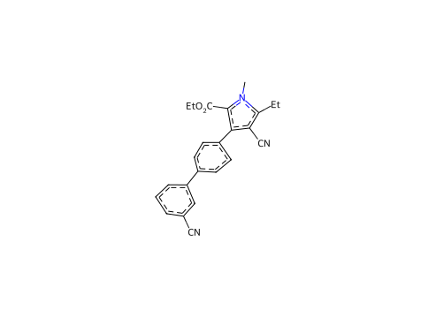 CCOC(=O)c1c(-c2ccc(-c3cccc(C#N)c3)cc2)c(C#N)c(CC)n1C